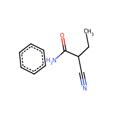 CCC(C#N)C(N)=O.c1ccccc1